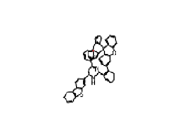 C1=CC(C2N=C(c3ccccc3)C=C(c3ccc4c5c(sc4c3)C=CCC5)N2)=C(c2ccc3c(c2)Oc2ccccc2C32C3=C(C=CCC3)c3ccccc32)CC1